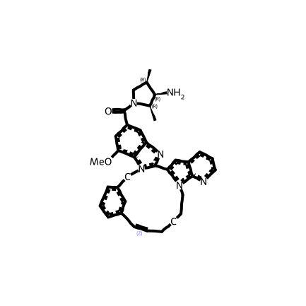 COc1cc(C(=O)N2C[C@@H](C)[C@@H](N)[C@H]2C)cc2nc3n(c12)Cc1cccc(c1)/C=C\CCCCn1c-3cc2cccnc21